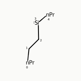 CCCCC[Si]CCC